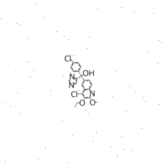 CCOc1c(OC)nc2ccc(C(O)(c3ccc(Cl)cc3)c3cncn3C)cc2c1Cl